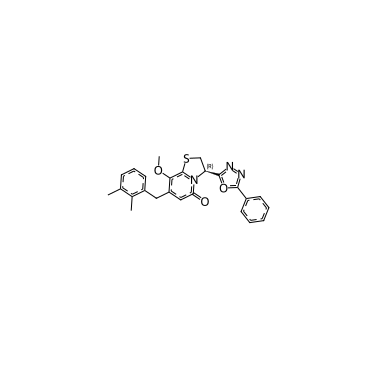 COc1c(Cc2cccc(C)c2C)cc(=O)n2c1SC[C@H]2c1nnc(-c2ccccc2)o1